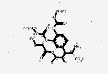 CCCCCOC(=O)Oc1ccc(C(C(C)C(C)OC(=O)CCC(C)C)[C@H](N)C(=O)O)cc1OC(=O)OCCCCC